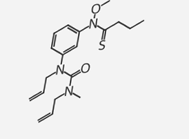 C=CCN(C)C(=O)N(CC=C)c1cccc(N(OC)C(=S)CCC)c1